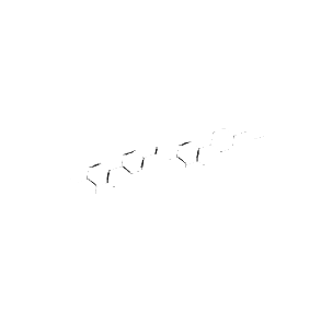 CCCC1CCC(c2ccc(OC(=O)c3ccc(-c4ccc(CC)c(F)c4F)cc3)c(F)c2F)CC1